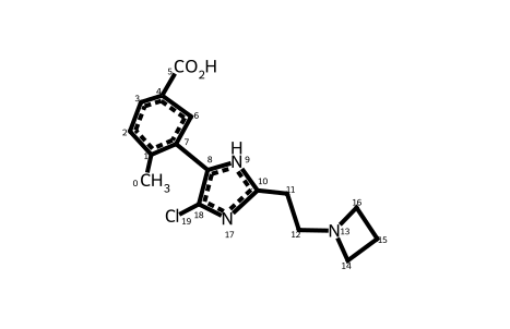 Cc1ccc(C(=O)O)cc1-c1[nH]c(CCN2CCC2)nc1Cl